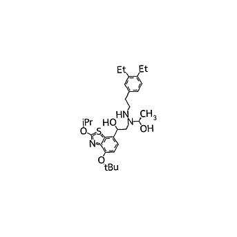 CCc1ccc(CCNN(CC(O)c2ccc(OC(C)(C)C)c3nc(OC(C)C)sc23)[C@@H](C)O)cc1CC